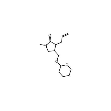 C=CCC1C(=O)N(C)CC1COC1CCCCO1